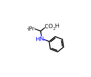 C[C](C)C(Nc1ccccc1)C(=O)O